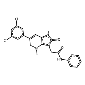 CN1CC(c2cc(Cl)cc(Cl)c2)=Cc2[nH]c(=O)n(CC(=O)Nc3ccccc3)c21